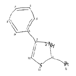 CC(C)C1NC(c2ccccc2)=CS1